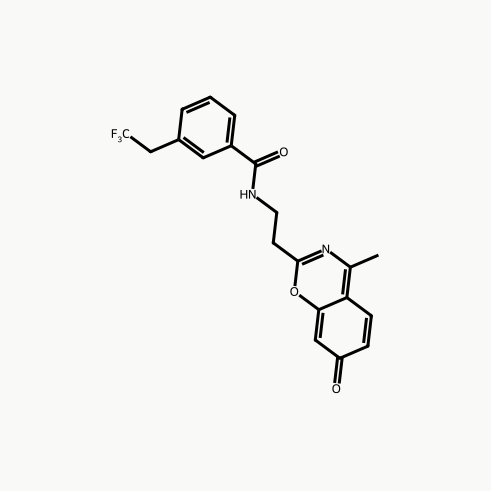 Cc1nc(CCNC(=O)c2cccc(CC(F)(F)F)c2)oc2cc(=O)ccc1-2